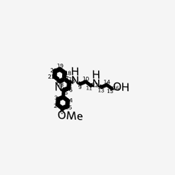 COc1ccc(-c2cc(NCCCNCCCO)c3ccccc3n2)cc1